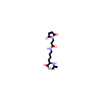 C=C(C)NC(CCCCNC(=O)CCN1C(=O)C=CC1=O)C(=O)NC